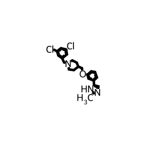 Cc1ncc(-c2cccc(OCC3CCN(Cc4cc(Cl)cc(Cl)c4)CC3)c2)[nH]1